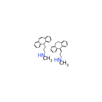 CNCCC=C1c2ccccc2CCc2ccccc21.CNCCCC1c2ccccc2C=Cc2ccccc21